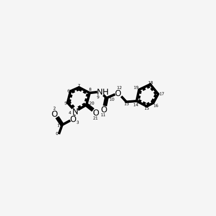 CC(=O)On1cccc(NC(=O)OCc2ccccc2)c1=O